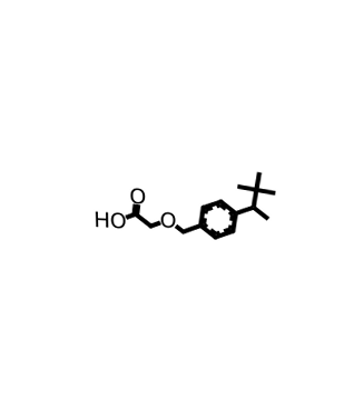 CC(c1ccc(COCC(=O)O)cc1)C(C)(C)C